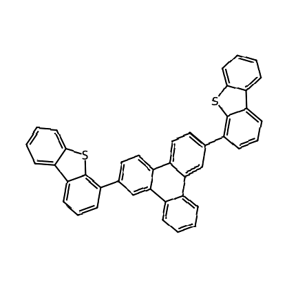 c1ccc2c(c1)sc1c(-c3ccc4c5ccc(-c6cccc7c6sc6ccccc67)cc5c5ccccc5c4c3)cccc12